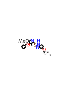 COc1cnc(CSc2nc3cc(OCC(F)(F)F)ccc3[nH]2)c(C)c1OCc1ccccc1